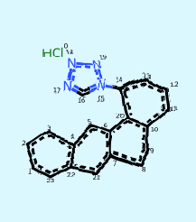 Cl.c1ccc2cc3c(ccc4cccc(-n5cnnn5)c43)cc2c1